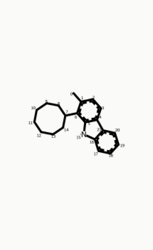 Cc1ccc2c(c1C1CCCCCCC1)[N]c1ccccc1-2